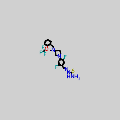 CN(Cc1ccccc1OC(F)(F)F)[C@@H]1CCN(c2cc(F)c(/C=N/NC(N)=S)cc2F)C1